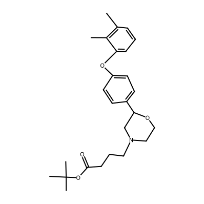 Cc1cccc(Oc2ccc(C3CN(CCCC(=O)OC(C)(C)C)CCO3)cc2)c1C